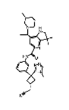 CC(c1cc(C(=O)Nc2cccc([C@]3(c4nncn4C)C[C@@H](CC#N)C3)c2)nc2c1NCC2(C)C)N1CCC[C@H](C)C1